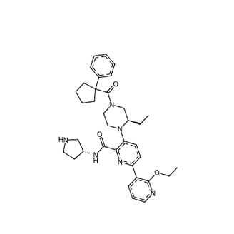 CCOc1ncccc1-c1ccc(N2CCN(C(=O)C3(c4ccccc4)CCCC3)C[C@H]2CC)c(C(=O)N[C@@H]2CCNC2)n1